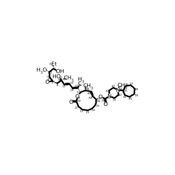 CC[C@H](O)[C@@H](C)[C@H]1O[C@@H]1C[C@@](C)(O)/C=C/C=C(\C)[C@H]1OC(=O)CCCCC[C@@H](OC(=O)N2CC[N+](C)(C3CCCCCC3)CC2)/C=C/[C@@H]1C